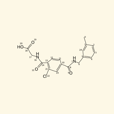 Cc1cccc(CNC(=O)c2ccc(C(=O)NCC(=O)O)c(Cl)c2)c1